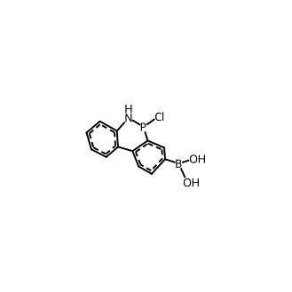 OB(O)c1ccc2c(c1)P(Cl)Nc1ccccc1-2